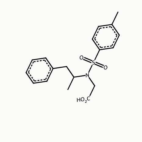 Cc1ccc(S(=O)(=O)N(CC(=O)O)C(C)Cc2ccccc2)cc1